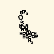 CC(C)(O)[C@H]1O[C@@H](n2cnc3c(SCc4ccc(OC(F)(F)F)cc4)ncnc32)[C@H](O)[C@@H]1O